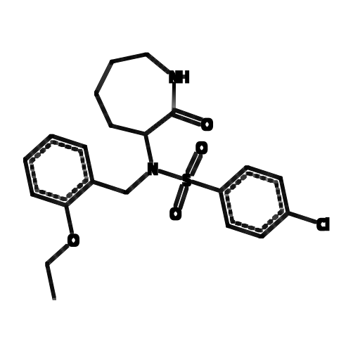 CCOc1ccccc1CN(C1CCCCNC1=O)S(=O)(=O)c1ccc(Cl)cc1